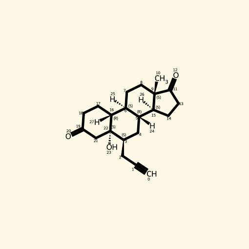 C#CC[C@@H]1C[C@@H]2[C@H](CC[C@]3(C)C(=O)CC[C@@H]23)[C@H]2CCC(=O)C[C@]12O